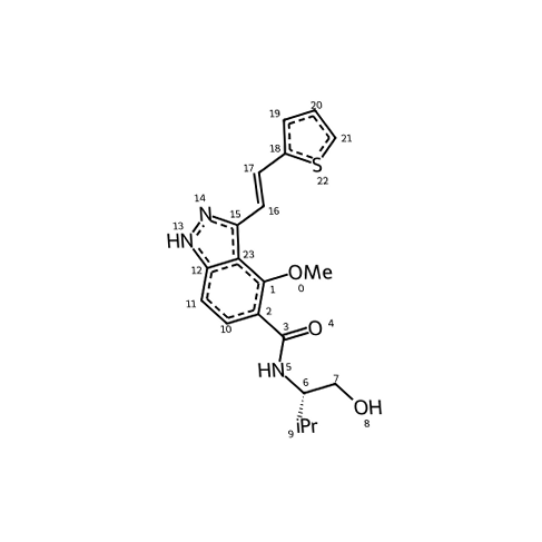 COc1c(C(=O)N[C@H](CO)C(C)C)ccc2[nH]nc(/C=C/c3cccs3)c12